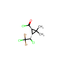 CC1(C)[C@H](C(=O)Cl)[C@H]1C(Cl)C(Cl)(Br)Br